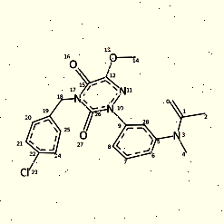 C=C(C)N(C)c1cccc(-n2nc(OC)c(=O)n(Cc3ccc(Cl)cc3)c2=O)c1